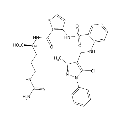 Cc1nn(-c2ccccc2)c(Cl)c1CNc1ccccc1S(=O)(=O)Nc1ccsc1C(=O)N[C@@H](CCCNC(=N)N)C(=O)O